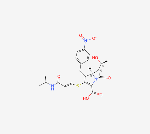 CC(C)NC(=O)C=CSC1=C(C(=O)O)N2C(=O)[C@@H]([C@H](C)O)[C@@H]2C1Cc1ccc([N+](=O)[O-])cc1